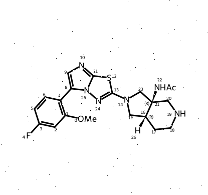 COc1cc(F)ccc1-c1cnc2sc(N3C[C@H]4CCNC[C@@]4(NC(C)=O)C3)nn12